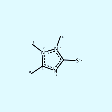 Cc1nc([S-])n(C)[n+]1C